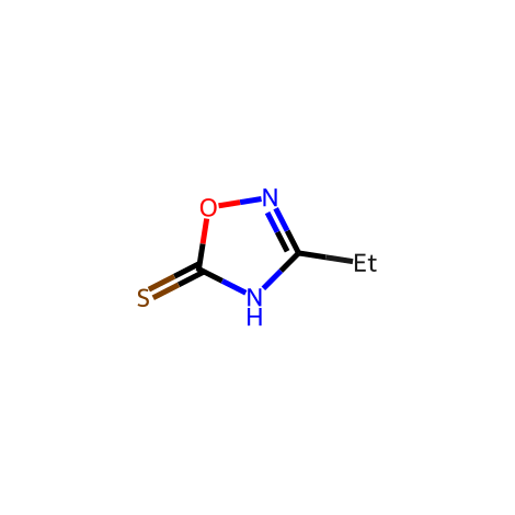 CCc1noc(=S)[nH]1